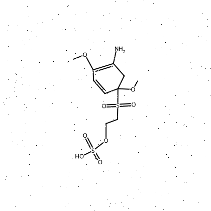 COC1=C(N)CC(OC)(S(=O)(=O)CCOS(=O)(=O)O)C=C1